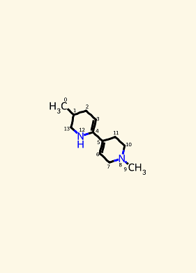 CC1CC=C(C2=CCN(C)CC2)NC1